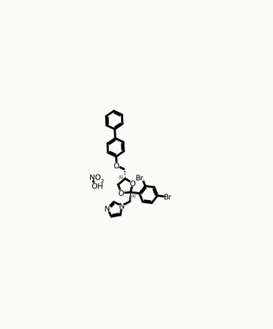 Brc1ccc([C@]2(Cn3ccnc3)OC[C@H](COc3ccc(-c4ccccc4)cc3)O2)c(Br)c1.O=[N+]([O-])O